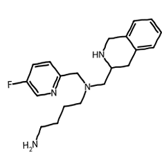 NCCCCN(Cc1ccc(F)cn1)CC1Cc2ccccc2CN1